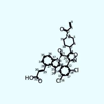 C=CC(=O)N1CCC(c2onc(-c3ccc(Cl)cc3Cl)c2C(=O)n2cc(C)c3c(/C=C/C(=O)O)cccc32)CC1